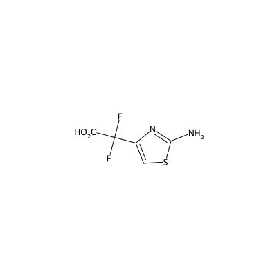 Nc1nc(C(F)(F)C(=O)O)cs1